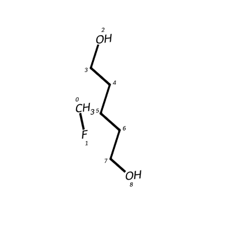 CF.OCCCCCO